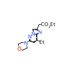 CCOC(=O)Cc1cn2nc(N3CCOCC3)cc(CC)c2n1